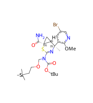 COc1ncc(Br)cc1[C@@]1(C)N=C(N(COCC[Si](C)(C)C)C(=O)OC(C)(C)C)S[C@@]2(C(N)=O)C[C@H]21